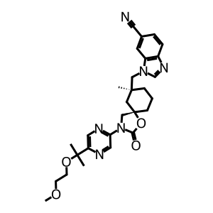 COCCOC(C)(C)c1cnc(N2C[C@@]3(CCC[C@](C)(Cn4cnc5ccc(C#N)cc54)C3)OC2=O)cn1